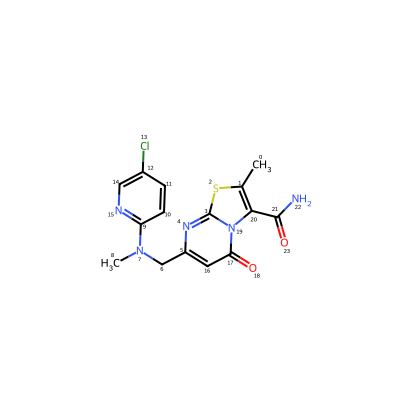 Cc1sc2nc(CN(C)c3ccc(Cl)cn3)cc(=O)n2c1C(N)=O